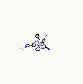 Cn1cc(-c2ccc(N(C(=O)NCc3ccccc3)C3(NC4N=CC(C#N)=CN4c4ccc(C#N)s4)CCCCC3)nc2)cn1